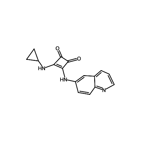 O=c1c(Nc2ccc3ncccc3c2)c(NC2CC2)c1=O